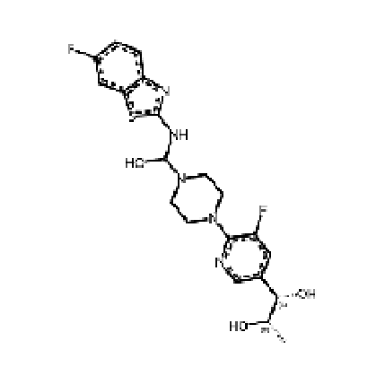 C[C@H](O)[C@@H](O)c1cnc(N2CCN(C(O)Nc3nc4ccc(F)cc4s3)CC2)c(F)c1